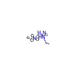 C=C/C=C\C=CCNC(C=C/C=C\C1Cc2c(cccc2-n2c3ccccc3c3c(C4=CC=CC4)cccc32)C1C)C1=C(N)CCC1